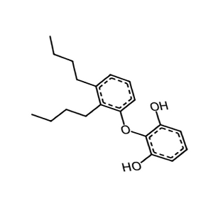 CCCCc1cccc(Oc2c(O)cccc2O)c1CCCC